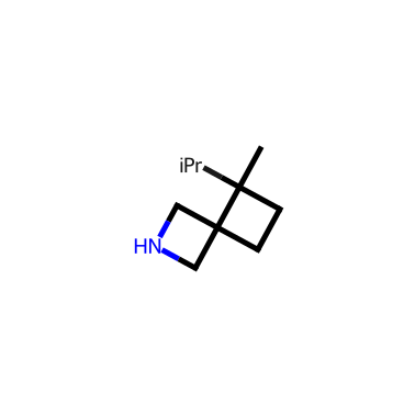 CC(C)C1(C)CCC12CNC2